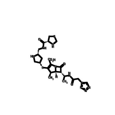 CC(NC(=O)Cn1cnnn1)[C@H]1C(=O)N2C(C(=O)O)=C(S[C@@H]3CN[C@H](CNC(=O)[C@@H]4CSCN4)C3)[C@H](C)[C@H]12